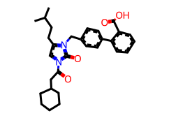 CC(C)CCc1cn(C(=O)CC2CCCCC2)c(=O)n1Cc1ccc(-c2ccccc2C(=O)O)cc1